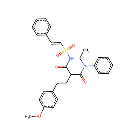 CCN(C(=O)C(CCc1ccc(OC)cc1)C(=O)NS(=O)(=O)/C=C/c1ccccc1)c1ccccc1